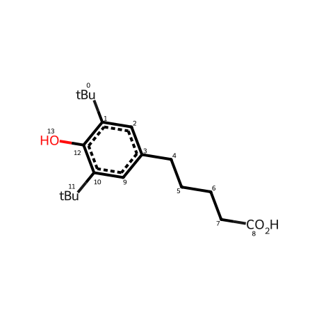 CC(C)(C)c1cc(CCCCC(=O)O)cc(C(C)(C)C)c1O